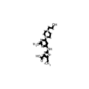 CCc1nc(Nc2cc(N3CCN(CCO)CC3)nc(C)n2)sc1C(=O)O